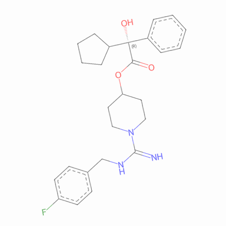 N=C(NCc1ccc(F)cc1)N1CCC(OC(=O)[C@](O)(c2ccccc2)C2CCCC2)CC1